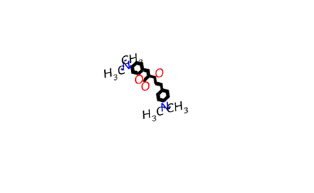 CN(C)c1ccc(C=CC(=O)c2cc3ccc(N(C)C)cc3oc2=O)cc1